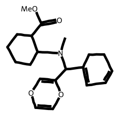 COC(=O)C1CCCCC1N(C)C(C1=CC=CCC1)C1=COC=CO1